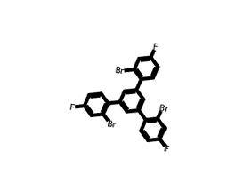 Fc1ccc(-c2cc(-c3ccc(F)cc3Br)cc(-c3ccc(F)cc3Br)c2)c(Br)c1